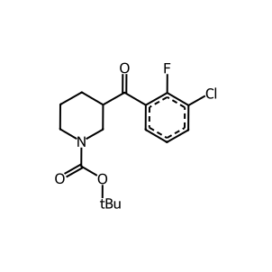 CC(C)(C)OC(=O)N1CCCC(C(=O)c2cccc(Cl)c2F)C1